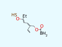 BC(=O)OC/C(C=C)=C/C=C(\CC)OS